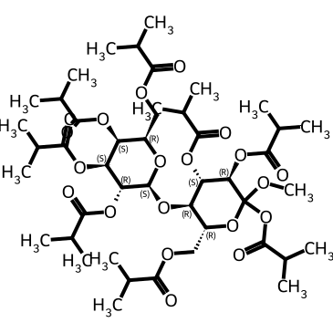 COC1(OC(=O)C(C)C)O[C@H](COC(=O)C(C)C)[C@@H](O[C@@H]2O[C@H](COC(=O)C(C)C)[C@H](OC(=O)C(C)C)[C@H](OC(=O)C(C)C)[C@H]2OC(=O)C(C)C)[C@H](OC(=O)C(C)C)[C@H]1OC(=O)C(C)C